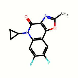 Cc1nc2c(=O)n(C3CC3)c3cc(F)c(F)cc3c2o1